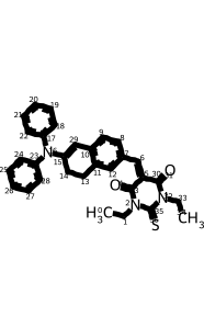 CCN1C(=O)C(=Cc2ccc3c(c2)CCC(N(c2ccccc2)c2ccccc2)=C3)C(=O)N(CC)C1=S